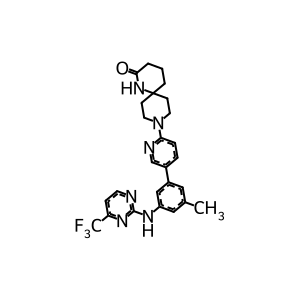 Cc1cc(Nc2nccc(C(F)(F)F)n2)cc(-c2ccc(N3CCC4(CCCC(=O)N4)CC3)nc2)c1